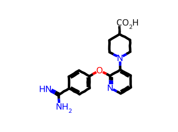 N=C(N)c1ccc(Oc2ncccc2N2CCC(C(=O)O)CC2)cc1